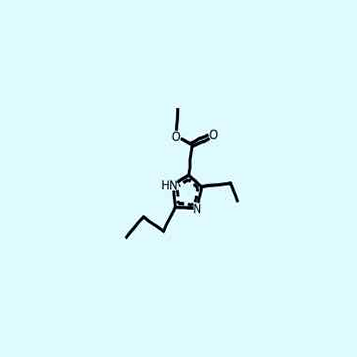 CCCc1nc(CC)c(C(=O)OC)[nH]1